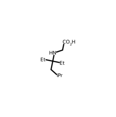 CCC(CC)(CC(C)C)NCC(=O)O